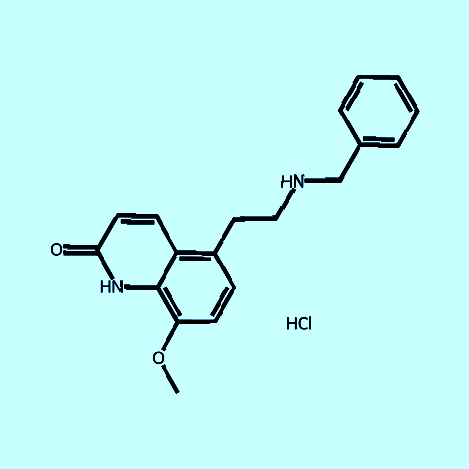 COc1ccc(CCNCc2ccccc2)c2ccc(=O)[nH]c12.Cl